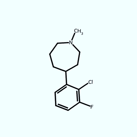 CN1CCCC(c2cccc(F)c2Cl)CC1